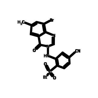 CCS(=O)(=O)c1ccc(C#N)cc1Nn1cnc2c(Br)cc(C)cc2c1=O